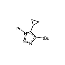 CC(C)n1nnc(C(C)(C)C)c1C1CC1